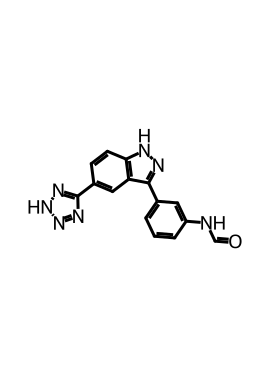 O=CNc1cccc(-c2n[nH]c3ccc(-c4nn[nH]n4)cc23)c1